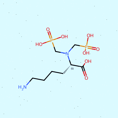 NCCCC[C@@H](C(=O)O)N(CP(=O)(O)O)CP(=O)(O)O